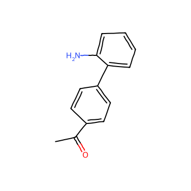 CC(=O)c1ccc(-c2ccccc2N)cc1